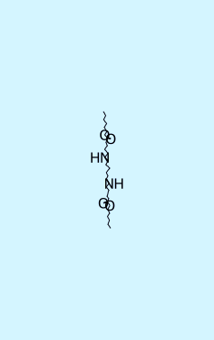 CCCCCCOC(=O)CCCCNCCCCCCNCCCCC(=O)OCCCCCC